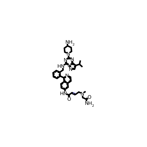 CC(C)c1cnn2c(NCc3ccccc3-c3nccc4cc(NC(=O)/C=C/CN(C)CC(N)=O)ccc34)nc(N3CCC(N)CC3)nc12